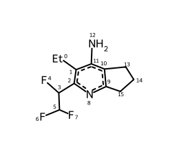 CCc1c(C(F)C(F)F)nc2c(c1N)CCC2